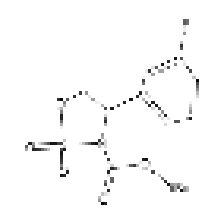 CC(C)(C)OC(=O)N1C(c2cccc(F)c2)COS1(=O)=O